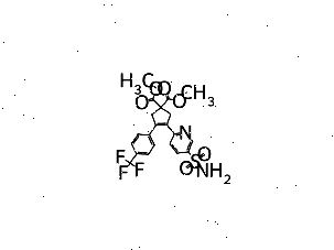 COC(=O)C1(C(=O)OC)CC(c2ccc(C(F)(F)F)cc2)=C(c2ccc(S(N)(=O)=O)cn2)C1